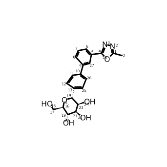 Cc1nnc(-c2cccc(-c3ccc([C@H]4O[C@H](CO)[C@@H](O)[C@H](O)[C@@H]4O)cc3)c2)o1